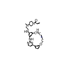 C=CC(=O)N1CCC(N(C)CCNc2cc3cc(c2)Nc2nccc(n2)-c2cccc(c2)OCC/C=C/CNC3)CC1